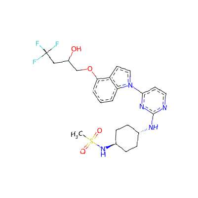 CS(=O)(=O)N[C@H]1CC[C@H](Nc2nccc(-n3ccc4c(OCC(O)CC(F)(F)F)cccc43)n2)CC1